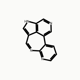 C1=Nc2ncccc2-c2cncc3[nH]cc1c23